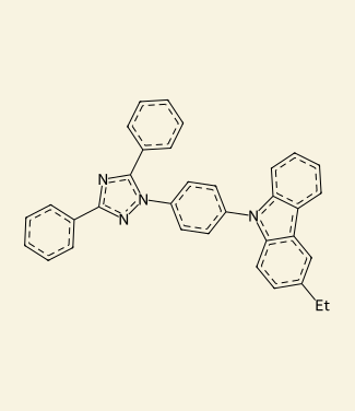 CCc1ccc2c(c1)c1ccccc1n2-c1ccc(-n2nc(-c3ccccc3)nc2-c2ccccc2)cc1